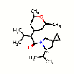 CC1CC(C(C(=O)N2CC3(CC3)C[C@H]2C(C)C)C(C)C)CC(C)O1